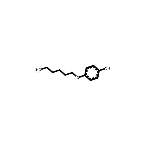 OCCCCCOc1ccc(O)cc1